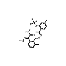 CNC(=O)/C(=N/OC)c1cccc(C)c1CO/N=C(\C)c1ccc(C)cc1OC(F)(F)F